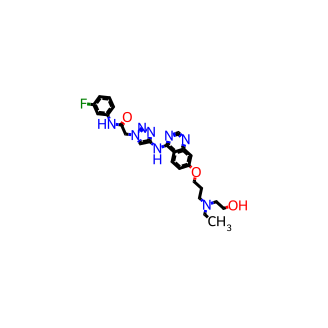 CCN(CCO)CCCOc1ccc2c(Nc3cn(CC(=O)Nc4cccc(F)c4)nn3)ncnc2c1